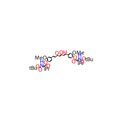 COc1cc(C=CC(=O)C=C(O)C=Cc2ccc(OC(=O)[C@@H](NC(=O)OC(C)(C)C)C(C)C)c(OC)c2)ccc1OC(=O)[C@@H](NC(=O)OC(C)(C)C)C(C)C